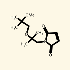 COC(C)(C)COC(C)(C)CN1C(=O)C=CC1=O